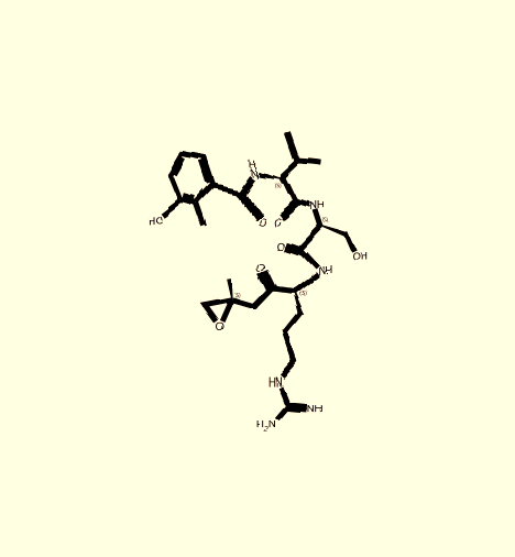 Cc1c(O)cccc1C(=O)N[C@H](C(=O)N[C@@H](CO)C(=O)N[C@@H](CCCNC(=N)N)C(=O)C[C@@]1(C)CO1)C(C)C